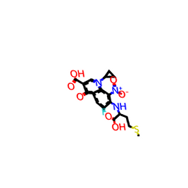 CSCCC(Nc1c(F)cc2c(=O)c(C(=O)O)cn(C3CC3)c2c1[N+](=O)[O-])C(=O)O